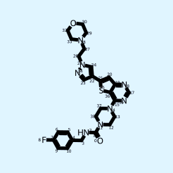 O=C(NCc1ccc(F)cc1)N1CCN(c2ncnc3cc(-c4cnn(CCN5CCOCC5)c4)sc23)CC1